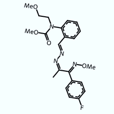 COCCN(C(=O)OC)c1ccccc1C=NN=C(C)C(=NOC)c1ccc(F)cc1